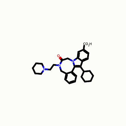 O=C(O)c1ccc2c(C3CCCCC3)c3n(c2c1)CC(=O)N(CCN1CCCCC1)Cc1ccccc1-3